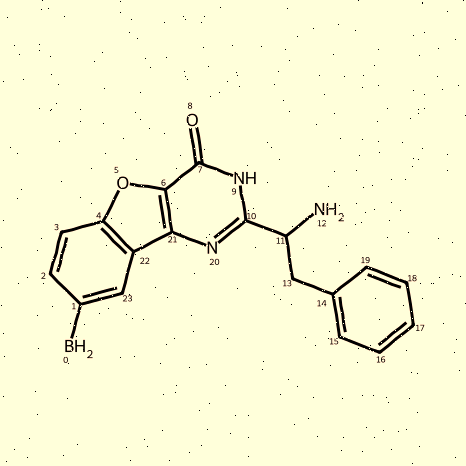 Bc1ccc2oc3c(=O)[nH]c(C(N)Cc4ccccc4)nc3c2c1